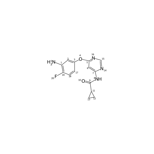 Nc1cc(Oc2cc(NC(=O)C3CC3)ncn2)ccc1F